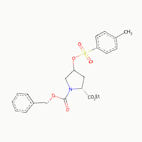 CCOC(=O)[C@H]1CC(OS(=O)(=O)c2ccc(C)cc2)CN1C(=O)OCc1ccccc1